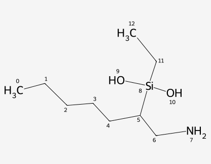 CCCCCC(CN)[Si](O)(O)CC